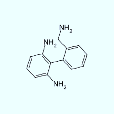 NCc1ccccc1-c1c(N)cccc1N